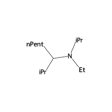 CCCCCC(C(C)C)N(CC)C(C)C